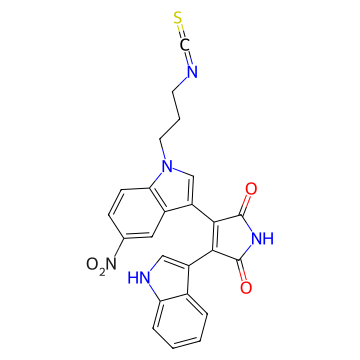 O=C1NC(=O)C(c2cn(CCCN=C=S)c3ccc([N+](=O)[O-])cc23)=C1c1c[nH]c2ccccc12